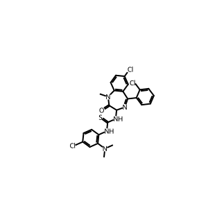 CN(C)c1cc(Cl)ccc1NC(=S)NC1N=C(c2ccccc2Cl)c2cc(Cl)ccc2N(C)C1=O